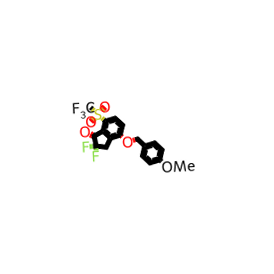 COc1ccc(COc2ccc(S(=O)(=O)C(F)(F)F)c3c2CC(F)(F)C3=O)cc1